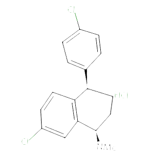 CN[C@@H]1CC[C@H](c2ccc(Cl)cc2)c2ccc(Cl)cc21.Cl